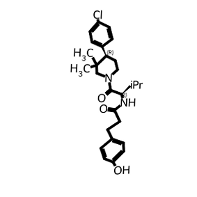 CC(C)[C@@H](NC(=O)CCc1ccc(O)cc1)C(=O)N1CC[C@H](c2ccc(Cl)cc2)C(C)(C)C1